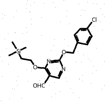 C[Si](C)(C)CCOc1nc(OCc2ccc(Cl)cc2)ncc1C=O